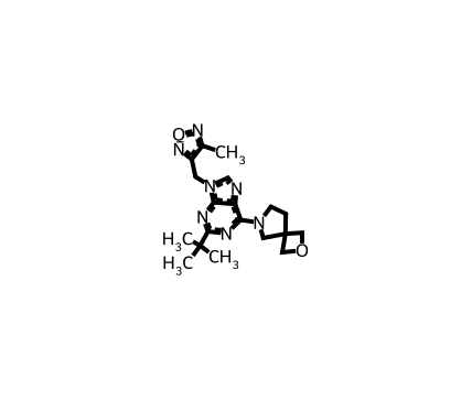 Cc1nonc1Cn1cnc2c(N3CCC4(COC4)C3)nc(C(C)(C)C)nc21